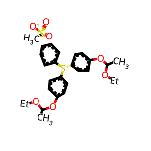 CCOC(C)Oc1ccc([S+](c2ccccc2)c2ccc(OC(C)OCC)cc2)cc1.CS(=O)(=O)[O-]